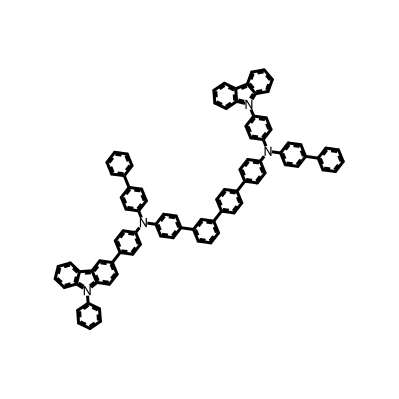 c1ccc(-c2ccc(N(c3ccc(-c4cccc(-c5ccc(-c6ccc(N(c7ccc(-c8ccccc8)cc7)c7ccc(-n8c9ccccc9c9ccccc98)cc7)cc6)cc5)c4)cc3)c3ccc(-c4ccc5c(c4)c4ccccc4n5-c4ccccc4)cc3)cc2)cc1